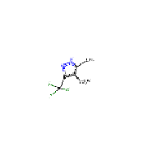 Cc1[nH]nc(C(F)(F)Cl)c1C(=O)O